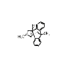 CN1C[C@@H]2c3ccccc3C3(C)C[C@@]2(C1)c1ccccc13